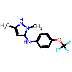 CC1=CC(Nc2ccc(OC(F)(F)F)cc2)N(C)N1